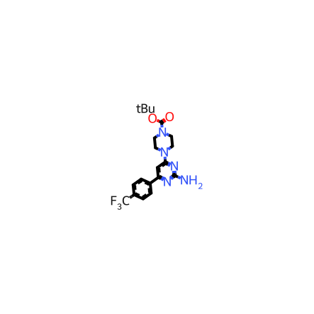 CC(C)(C)OC(=O)N1CCN(c2cc(-c3ccc(C(F)(F)F)cc3)nc(N)n2)CC1